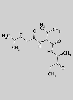 CCC(=O)[C@H](C)NC(=O)[C@@H](NC(=O)CNC(C)C)C(C)C